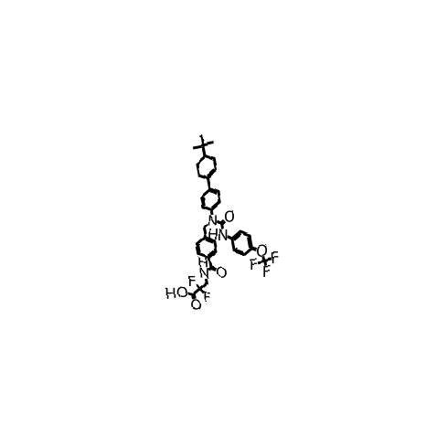 CC(C)(C)C1CC=C(c2ccc(N(Cc3ccc(C(=O)NCC(F)(F)C(=O)O)cc3)C(=O)Nc3ccc(OC(F)(F)F)cc3)cc2)CC1